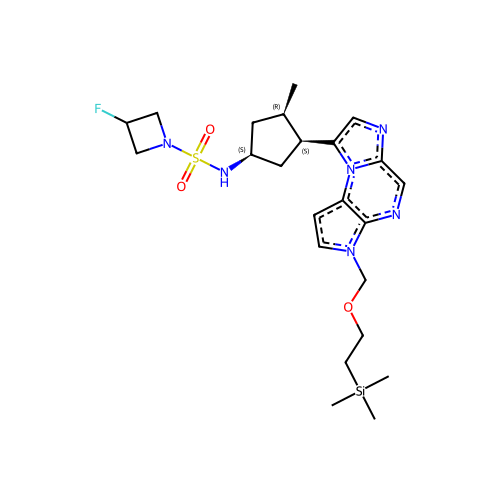 C[C@@H]1C[C@H](NS(=O)(=O)N2CC(F)C2)C[C@@H]1c1cnc2cnc3c(ccn3COCC[Si](C)(C)C)n12